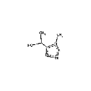 CC(O)c1cnnn1C